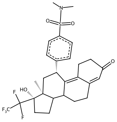 CN(C)S(=O)(=O)c1ccc([C@H]2C[C@@]3(C)C(CC[C@@]3(O)C(F)(F)C(F)(F)F)C3CCC4=CC(=O)CCC4=C32)cc1